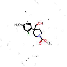 Cc1ccc(C2(CO)CCN(C(=O)OC(C)(C)C)CC2)c(F)c1